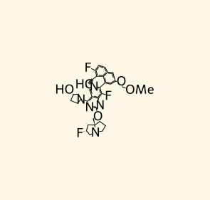 C#Cc1c(F)ccc2cc(OCOC)cc(-c3ncc4c(N5CC[C@@H](O)C5)nc(OC[C@@]56CCCN5C[C@H](F)C6)nc4c3F)c12